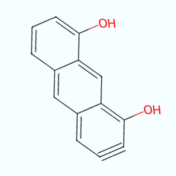 Oc1c#ccc2cc3cccc(O)c3cc12